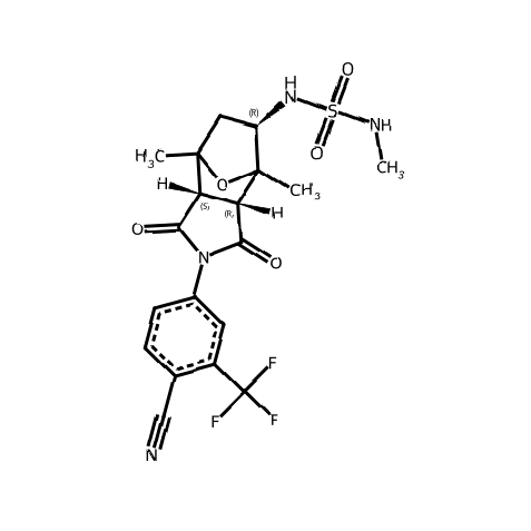 CNS(=O)(=O)N[C@@H]1CC2(C)OC1(C)[C@@H]1C(=O)N(c3ccc(C#N)c(C(F)(F)F)c3)C(=O)[C@@H]12